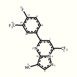 N#Cc1cnn2c(C(F)(F)F)cc(-c3ccc(F)c(C(F)(F)F)c3)nc12